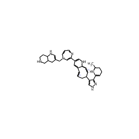 CC1CCC=C(c2n[nH]cc2C2/C=C\C3NC=C(C4=CN(CC5=CNC6CCNCC6C5)C=CC=N4)C=C3/C=C/C2)N1